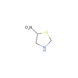 O=[N+]([O-])C1CN[CH]S1